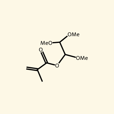 C=C(C)C(=O)O[C](OC)C(OC)OC